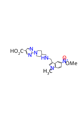 CO[N+](=O)c1ccc2c(c1)c(CNCC1CCN(c3ncc(C(=O)O)cn3)CC1)cn2C